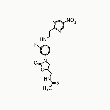 CC(=S)NCC1CN(c2ccc(NCCc3ncc([N+](=O)[O-])cn3)c(F)c2)C(=O)O1